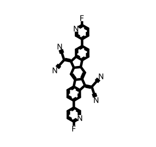 N#CC(C#N)=C1C2=CC3c4ccc(-c5ccc(F)nc5)cc4C(=C(C#N)C#N)C3C=C2c2ccc(-c3ccc(F)nc3)cc21